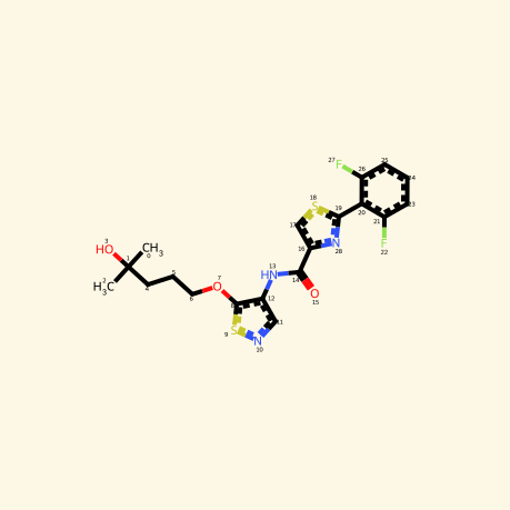 CC(C)(O)CCCOc1sncc1NC(=O)c1csc(-c2c(F)cccc2F)n1